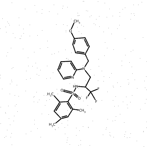 COc1ccc(CN(CC(NS(=O)(=O)c2c(C)cc(C)cc2C)C(F)(F)F)c2ccccn2)cc1